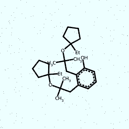 CCC1(OC(C)(C)Cc2cccc(O)c2CC(C)(C)OC2(CC)CCCC2)CCCC1